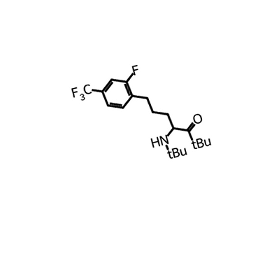 CC(C)(C)NC(CCCc1ccc(C(F)(F)F)cc1F)C(=O)C(C)(C)C